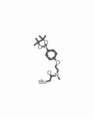 CN(CCOc1ccc(B2OC(C)(C)C(C)(C)O2)cc1)C(=O)CC(C)(C)C